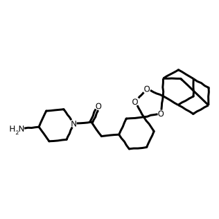 NC1CCN(C(=O)CC2CCCC3(C2)OOC2(O3)C3CC4CC(C3)CC2C4)CC1